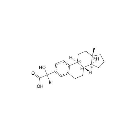 C[C@@]12CCC[C@H]1[C@@H]1CCc3cc(C(O)(Br)C(=O)O)ccc3[C@H]1CC2